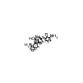 BC(B)(O)c1nc(Sc2ccnc(N)c2Cl)cnc1N1CCC2(CC1)COC[C@H]2N